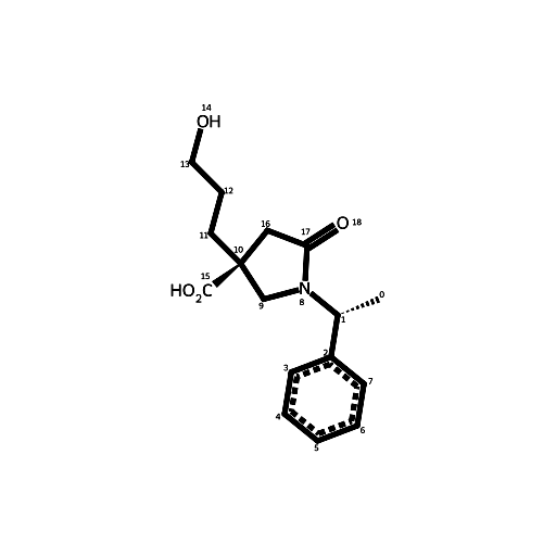 C[C@H](c1ccccc1)N1C[C@@](CCCO)(C(=O)O)CC1=O